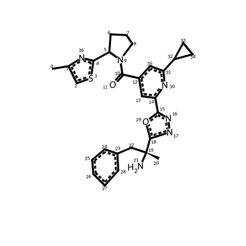 Cc1csc(C2CCCN2C(=O)c2cc(-c3nnc([C@](C)(N)Cc4ccccc4)o3)nc(C3CC3)c2)n1